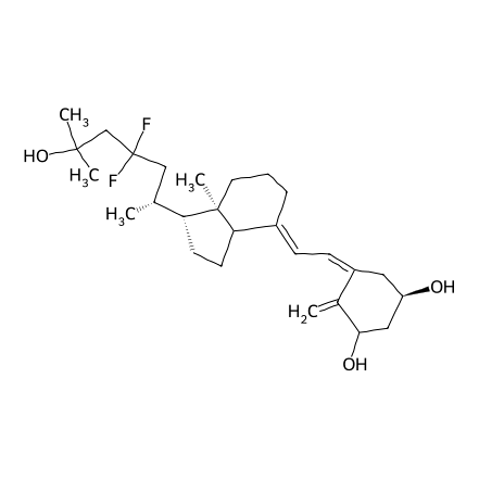 C=C1/C(=C\C=C2CCC[C@@]3(C)C2CC[C@@H]3[C@H](C)CC(F)(F)CC(C)(C)O)C[C@@H](O)CC1O